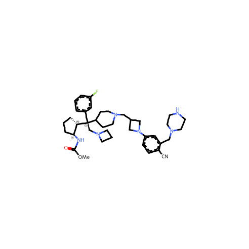 COC(=O)N[C@H]1CCC[C@@H]1[C@](CN1CCC1)(c1cccc(F)c1)C1CCN(CC2CN(c3ccc(C#N)c(CN4CCNCC4)c3)C2)CC1